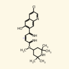 CN(C(=N)/C=C\C(=N)c1cc2ncc(Cl)cc2cc1O)C1CC(C)(C)NC(C)(C)C1